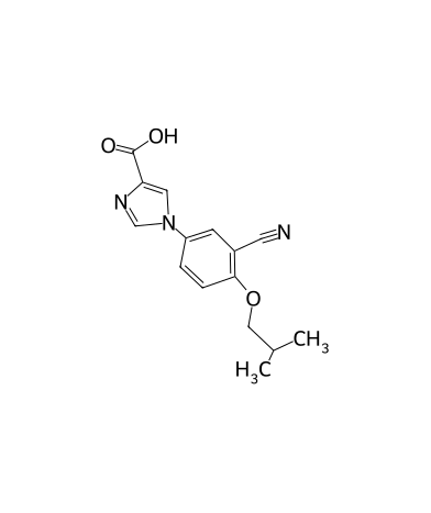 CC(C)COc1ccc(-n2cnc(C(=O)O)c2)cc1C#N